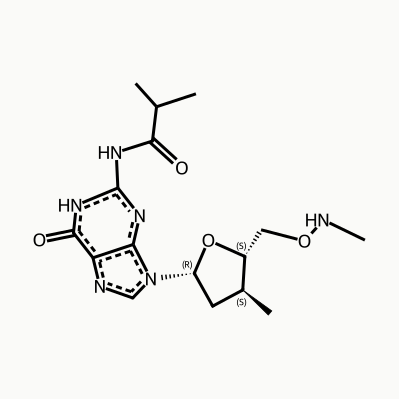 CNOC[C@H]1O[C@@H](n2cnc3c(=O)[nH]c(NC(=O)C(C)C)nc32)C[C@@H]1C